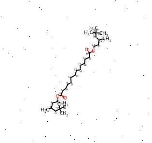 CC(CCOC(=O)CCCCCCCCCCCCC(=O)OCCC(C)CC(C)(C)C)CC(C)(C)C